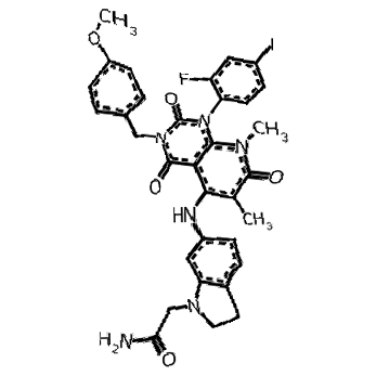 COc1ccc(Cn2c(=O)c3c(Nc4ccc5c(c4)N(CC(N)=O)CC5)c(C)c(=O)n(C)c3n(-c3ccc(I)cc3F)c2=O)cc1